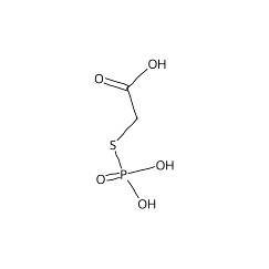 O=C(O)CSP(=O)(O)O